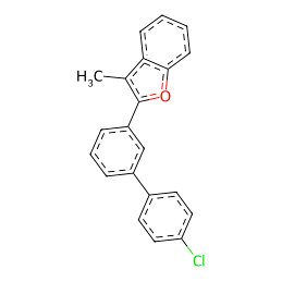 Cc1c(-c2cccc(-c3ccc(Cl)cc3)c2)oc2ccccc12